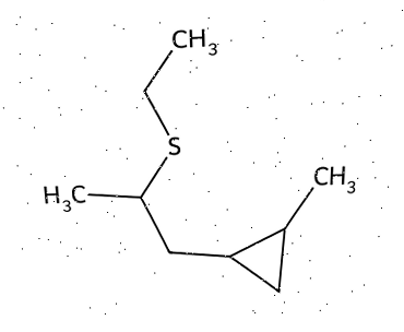 CCSC(C)CC1CC1C